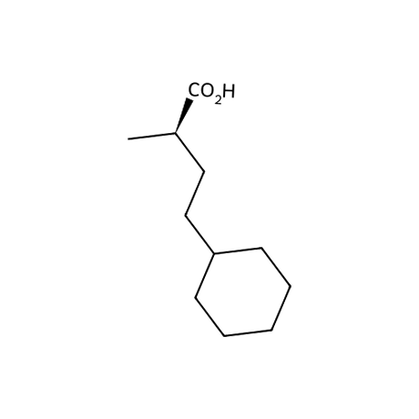 C[C@H](CCC1CCCCC1)C(=O)O